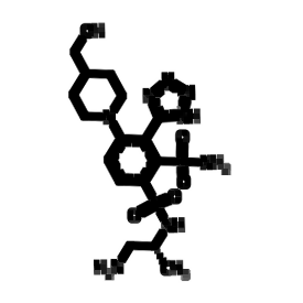 C[C@H](CN)NS(=O)(=O)c1ccc(N2CCC(CO)CC2)c(-c2nnn[nH]2)c1S(N)(=O)=O